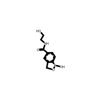 O=C(NCCO)c1ccc2c(c1)COB2O